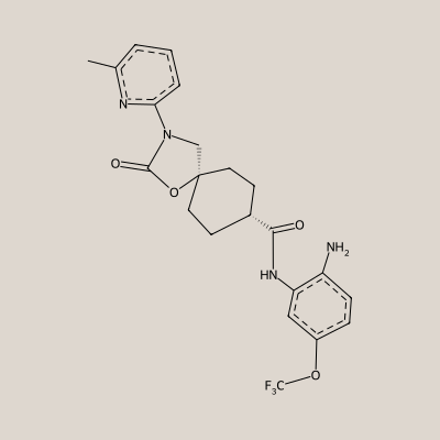 Cc1cccc(N2C[C@]3(CC[C@@H](C(=O)Nc4cc(OC(F)(F)F)ccc4N)CC3)OC2=O)n1